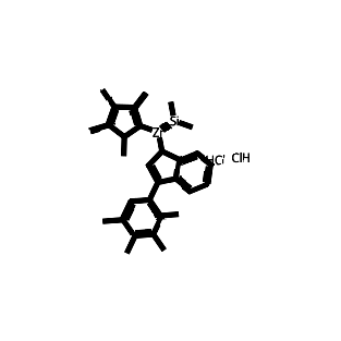 CC1=C(C)C(C)[C]([Zr]([CH]2C=C(c3cc(C)c(C)c(C)c3C)c3ccccc32)=[Si](C)C)=C1C.Cl.Cl